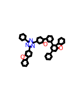 c1ccc(-c2cc(-c3cccc4c3oc3cc(-c5nc(-c6ccccc6)nc(-c6ccc7c(c6)oc6ccccc67)n5)ccc34)c3c(c2)oc2ccccc23)cc1